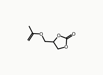 C=C(C)OCC1COC(=O)O1